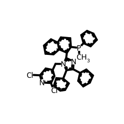 CP(c1ccccc1)c1ccc2ccccc2c1-c1nc(-c2ccccc2)c(-c2ccccc2)n1Cc1cc(Cl)nc(Cl)c1